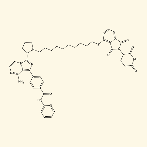 Nc1nccn2c([C@@H]3CCCN3CCCCCCCCCCSc3cccc4c3C(=O)N(C3CCC(=O)NC3=O)C4=O)nc(-c3ccc(C(=O)Nc4ccccn4)cc3)c12